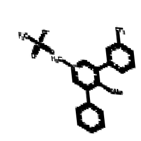 CSc1c(-c2ccccc2)c[n+](C)cc1-c1cccc(C(F)(F)F)c1.O=S(=O)([O-])C(F)(F)F